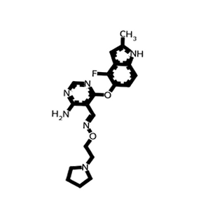 Cc1cc2c(F)c(Oc3ncnc(N)c3/C=N/OCCN3CCCC3)ccc2[nH]1